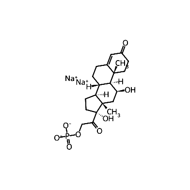 C[C@]12CCC(=O)C=C1CC[C@@H]1[C@@H]2[C@@H](O)C[C@@]2(C)[C@H]1CC[C@]2(O)C(=O)COP(=O)([O-])[O-].[Na+].[Na+]